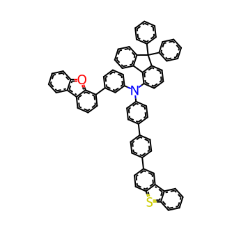 c1ccc(C2(c3ccccc3)c3ccccc3-c3c(N(c4ccc(-c5ccc(-c6ccc7sc8ccccc8c7c6)cc5)cc4)c4cccc(-c5cccc6c5oc5ccccc56)c4)cccc32)cc1